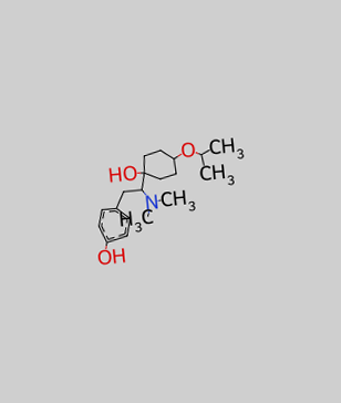 CC(C)OC1CCC(O)(C(Cc2ccc(O)cc2)N(C)C)CC1